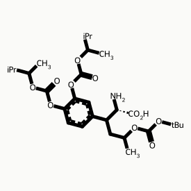 CC(CC(c1ccc(OC(=O)OC(C)C(C)C)c(OC(=O)OC(C)C(C)C)c1)[C@H](N)C(=O)O)OC(=O)OC(C)(C)C